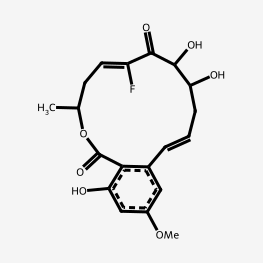 COc1cc(O)c2c(c1)/C=C/CC(O)C(O)C(=O)/C(F)=C/CC(C)OC2=O